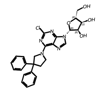 OC[C@H]1O[C@@H](n2cnc3c(N4CCC(c5ccccc5)(c5ccccc5)C4)nc(Cl)nc32)[C@H](O)[C@@H]1O